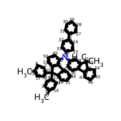 Cc1ccc(C2(c3ccc(C)cc3)c3ccccc3-c3c(N(c4ccc(-c5ccccc5)cc4)c4ccc5c(c4)C(C)(C)c4ccccc4-5)cccc32)cc1